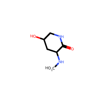 O=C(O)NC1CC(O)CNC1=O